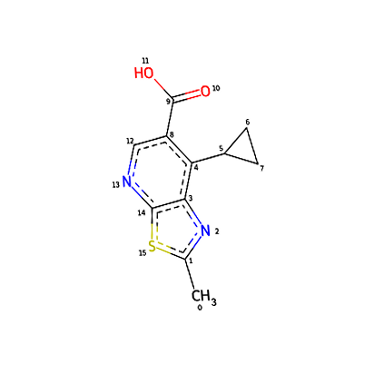 Cc1nc2c(C3CC3)c(C(=O)O)cnc2s1